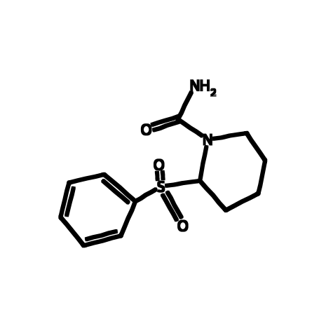 NC(=O)N1CCCCC1S(=O)(=O)c1ccccc1